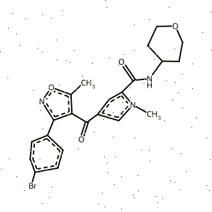 Cc1onc(-c2ccc(Br)cc2)c1C(=O)c1cc(C(=O)NC2CCOCC2)n(C)c1